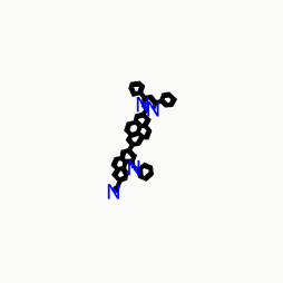 N#Cc1cc2ccc3cc(-c4cc5ccc6cc(-c7nc(-c8ccccc8)cc(-c8ccccc8)n7)cc7ccc(c4)c5c67)cc4c3c2c(c1)n4-c1ccccc1